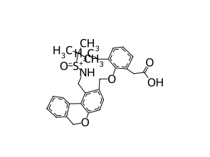 CCc1cccc(CC(=O)O)c1OCc1ccc2c(c1CN[S+]([O-])C(C)(C)C)-c1ccccc1CO2